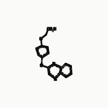 O=C(O)COc1ccc(Oc2cnc3ccccc3n2)cc1